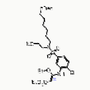 CCCCCCCCCCCCCCCCN(CCC#N)S(=O)(=O)c1ccc(Cl)c(N/C(=C/C(=O)OCC)OCC)c1